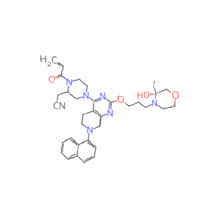 C=CC(=O)N1CCN(c2nc(OCCCN3CCOC[C@@]3(O)I)nc3c2CCN(c2cccc4ccccc24)C3)CC1CC#N